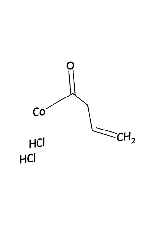 C=CC[C](=O)[Co].Cl.Cl